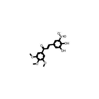 COc1cc(C(=O)C=Cc2cc(O)c(O)c([N+](=O)[O-])c2)cc(OC)c1OC